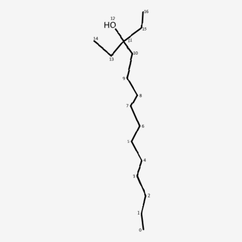 CCCCCCCCCCCC(O)(CC)CC